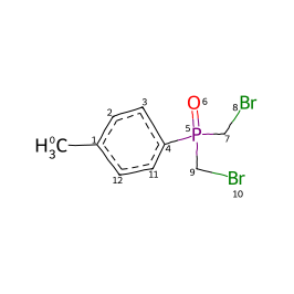 Cc1ccc(P(=O)(CBr)CBr)cc1